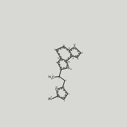 CC(C)c1ccc(CC(C)c2cc3ccc4sccc4c3s2)o1